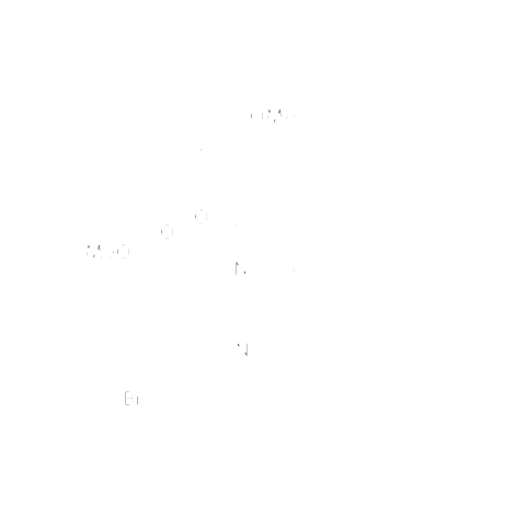 COC(=O)CC(=O)N(OCc1ccccc1)c1ncc(Br)cc1C(=O)OC